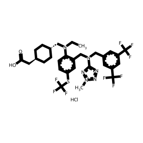 CCN(C[C@H]1CC[C@H](CC(=O)O)CC1)c1ccc(SC(F)(F)F)cc1CN(Cc1cc(C(F)(F)F)cc(C(F)(F)F)c1)c1nnn(C)n1.Cl